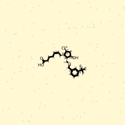 O=C(O)CCC/C=C\C[C@@H]1[C@@H](COCc2cccc(C(F)(F)F)c2)[C@H](O)C[C@@H]1Cl